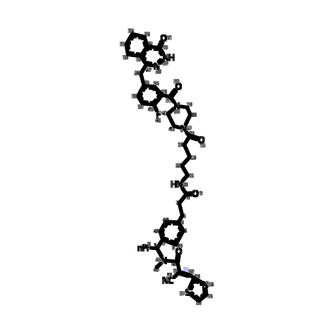 CCCC(c1ccc(CCC(=O)NCCCCC(=O)N2CCN(C(=O)c3cc(Cc4n[nH]c(=O)c5ccccc45)ccc3F)CC2)cc1)N(C)C(=O)/C(C#N)=C/c1nccs1